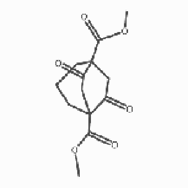 COC(=O)C12CCCC(C(=O)OC)(CC1=O)C(=O)C2